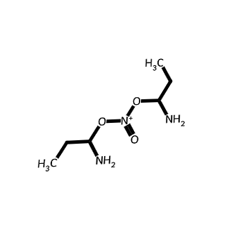 CCC(N)O[N+](=O)OC(N)CC